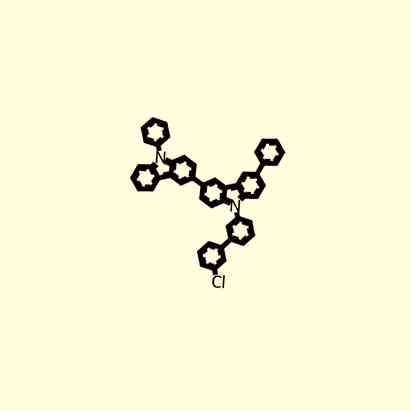 Clc1cccc(-c2cccc(-n3c4ccc(-c5ccccc5)cc4c4cc(-c5ccc6c(c5)c5ccccc5n6-c5ccccc5)ccc43)c2)c1